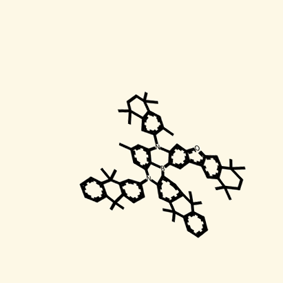 Cc1cc2c3c(c1)N(c1cc4c(cc1C)C(C)(C)CCC4(C)C)c1cc4oc5cc6c(cc5c4cc1B3c1cc3c(cc1N2c1ccc2c(c1)C(C)(C)c1ccccc1C2(C)C)C(C)(C)c1ccccc1C3(C)C)C(C)(C)CCC6(C)C